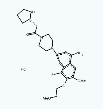 COCCOc1c(OC)cc2c(N)nc(N3CCN(C(=O)C[C@@H]4CCCN4)CC3)nc2c1F.Cl